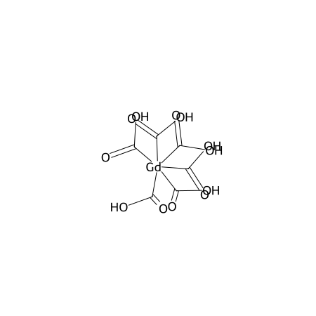 O=[C](O)[Gd]([C](=O)O)([C](=O)O)([C](=O)O)([C](=O)O)[C](=O)O